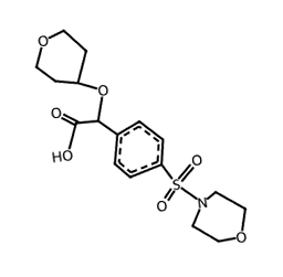 O=C(O)C(OC1CCOCC1)c1ccc(S(=O)(=O)N2CCOCC2)cc1